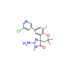 CN1C(=O)C2(CC(C)(C)Oc3c(F)cc(-c4cncc(Cl)c4)cc32)N=C1N